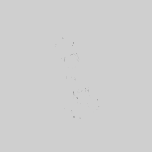 O=C(c1nc(NCc2ccc(C(F)(F)F)nc2)nc2ccsc12)N1CCCC1